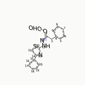 O=CO/C(Cc1ccccc1)=N/Nc1nc(-c2ccccc2)cs1